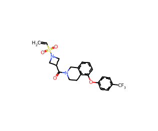 C=CS(=O)(=O)N1CC(C(=O)N2CCc3c(cccc3Oc3ccc(C(F)(F)F)cc3)C2)C1